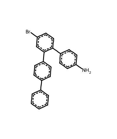 Nc1ccc(-c2ccc(Br)cc2-c2ccc(-c3ccccc3)cc2)cc1